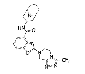 CN1C2CCCC1CC(NC(=O)c1cccc3oc(N4CCn5c(nnc5C(F)(F)F)C4)nc13)C2